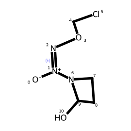 [O-]/[N+](=N/OCCl)N1CCC1O